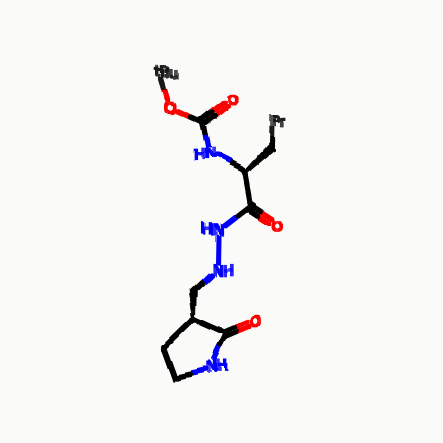 CC(C)C[C@H](NC(=O)OC(C)(C)C)C(=O)NNC[C@@H]1CCNC1=O